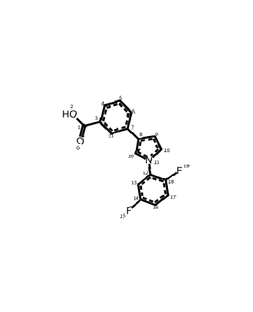 O=C(O)c1cccc(-c2ccn(-c3cc(F)ccc3F)c2)c1